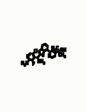 CC(C)(O)c1ccnc(-c2cccc3cc([C@H](N)c4c(Cl)cnc(N)c4F)sc23)c1